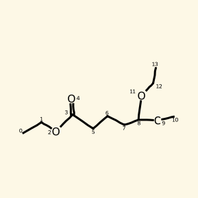 CCOC(=O)CCCC(CC)OCC